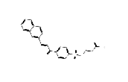 O=C(O)CCNS(=O)(=O)c1ccc(C(=O)/C=C/c2ccc3ccccc3c2)cc1